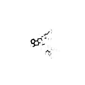 C=CCN1C[C@H](C(=O)N(CCCN(C)C)C(=O)NCC)C[C@@H]2c3cccc4[nH]cc(c34)C[C@H]21.O.O=C([O-])CC(O)(CC(=O)[O-])C(=O)[O-].[K+].[K+].[K+]